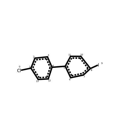 Clc1[c]cc(-c2ccc(I)cc2)cc1